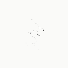 CCCCC(C=O)NC(=O)C(CC(C)C)NC(=O)O